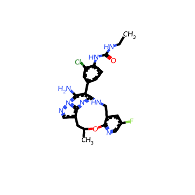 CCNC(=O)Nc1ccc(-c2c3nc4c(cnn4c2N)CC(C)Oc2ncc(F)cc2CN3)cc1Cl